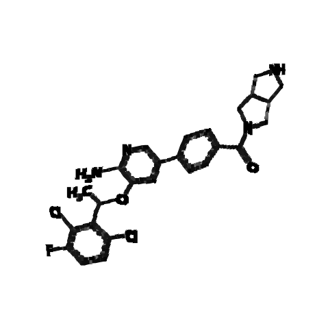 CC(Oc1cc(-c2ccc(C(=O)N3CC4CNCC4C3)cc2)cnc1N)c1c(Cl)ccc(F)c1Cl